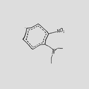 CN(C)c1cc[c]cc1[N+](=O)[O-]